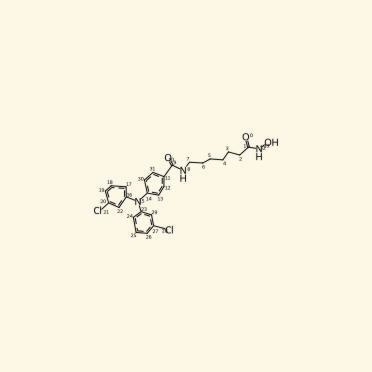 O=C(CCCCCCNC(=O)c1ccc(N(c2cccc(Cl)c2)c2cccc(Cl)c2)cc1)NO